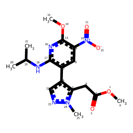 COC(=O)Cc1c(-c2cc([N+](=O)[O-])c(OC)nc2NC(C)C)cnn1C